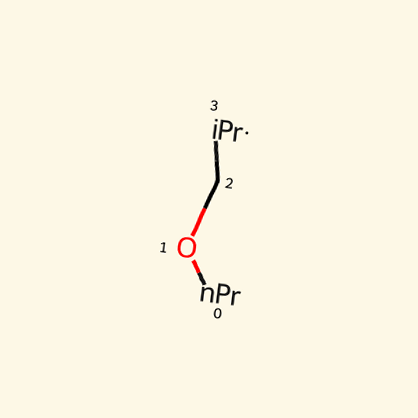 CCCOC[C](C)C